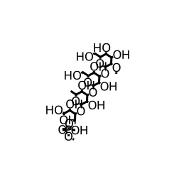 COC1C(OC2C(O)C(CO)OC(OC3C(O)C(C)OC(OC(COP(=O)(O)OC)C(O)C(O)O)C3O)C2O)OC(CO)C(O)C1O